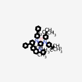 CC(C)(C)c1ccc(N2c3ccc(C(C)(C)C)cc3B3c4cc(-c5ccccc5)ccc4N(c4ccc(-c5ccccc5)cc4)c4cc(N5c6ccccc6C6(C)CCc7ccccc7C56C)cc2c43)cc1